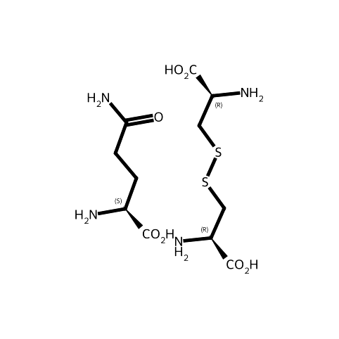 NC(=O)CC[C@H](N)C(=O)O.N[C@@H](CSSC[C@H](N)C(=O)O)C(=O)O